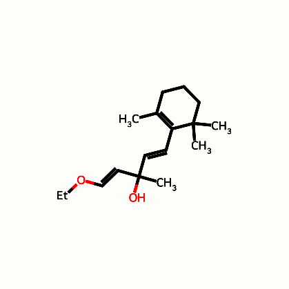 CCOC=CC(C)(O)C=CC1=C(C)CCCC1(C)C